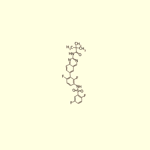 CC(C)(C)C(=O)Nc1ncc2cc(-c3c(F)ccc(NS(=O)(=O)c4cc(F)ccc4F)c3F)ccc2n1